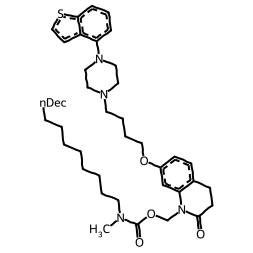 CCCCCCCCCCCCCCCCCCN(C)C(=O)OCN1C(=O)CCc2ccc(OCCCCN3CCN(c4cccc5sccc45)CC3)cc21